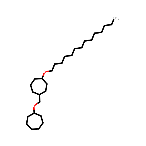 [CH2]CCCCCCCCCCCCCOC1CCCC(COC2CC[CH]CCC2)CC1